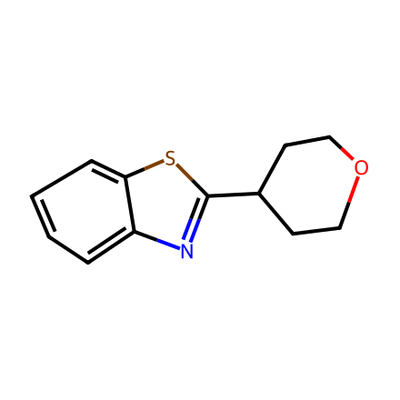 c1ccc2sc(C3CCOCC3)nc2c1